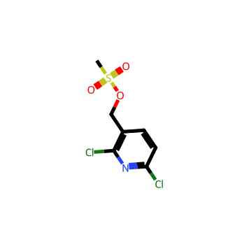 CS(=O)(=O)OCc1ccc(Cl)nc1Cl